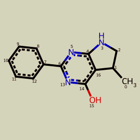 CC1CNc2nc(-c3ccccc3)nc(O)c21